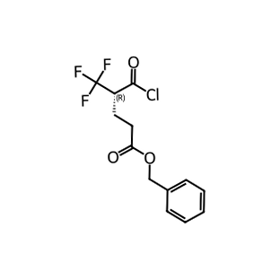 O=C(CC[C@@H](C(=O)Cl)C(F)(F)F)OCc1ccccc1